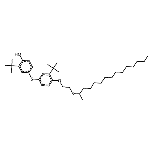 CCCCCCCCCCCCCC(C)SCCOc1ccc(Sc2ccc(O)c(C(C)(C)C)c2)cc1C(C)(C)C